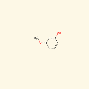 COC1C=C(O)C=CC1